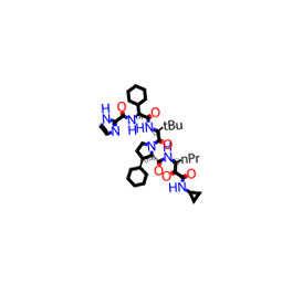 CCC[C@H](NC(=O)[C@@H]1[C@@H](C2CCCCC2)CCN1C(=O)[C@@H](NC(=O)[C@@H](NC(=O)c1ncc[nH]1)C1CCCCC1)C(C)(C)C)C(=O)C(=O)NC1CC1